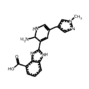 Cn1cc(C2=CNC(N)C(c3nc4c(C(=O)O)cccc4[nH]3)=C2)cn1